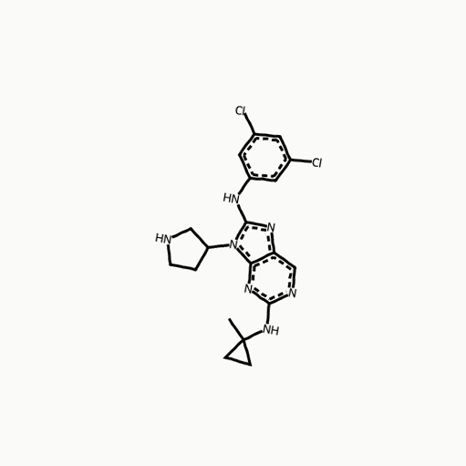 CC1(Nc2ncc3nc(Nc4cc(Cl)cc(Cl)c4)n(C4CCNC4)c3n2)CC1